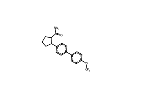 NC(=O)C1CCCC1c1ccc(-c2ccc(OC(F)(F)F)cc2)cc1